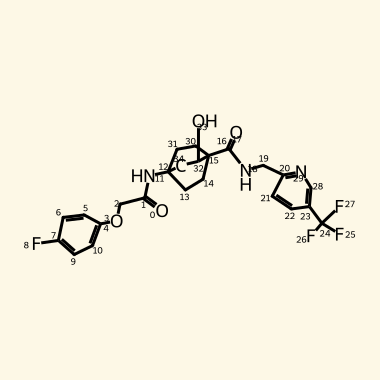 O=C(COc1ccc(F)cc1)NC12CCC(C(=O)NCc3ccc(C(F)(F)F)cn3)(CC1)C(O)C2